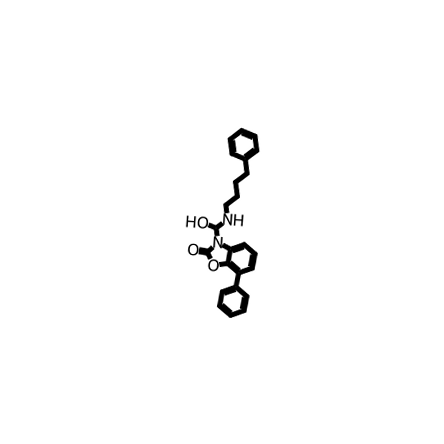 O=c1oc2c(-c3ccccc3)cccc2n1C(O)NCCCCc1ccccc1